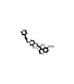 COc1ccc2nccc([C@H](O)CC[C@@H]3CCN(CC#Cc4ccncc4)C[C@@H]3C(=O)O)c2c1